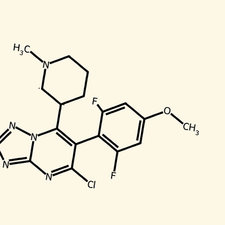 COc1cc(F)c(-c2c(Cl)nc3ncnn3c2[C]2[CH]N(C)CCC2)c(F)c1